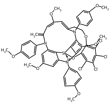 C=C1/C=C(OC)\C=C2/CCOc3c(Cl)c(Cl)c(Cl)c(Cl)c3O[Si@@H]3c4c(cc(OC)cc4N(c4ccc(OC)cc4)c4cc(OC)cc(c43)N2c2ccc(OC)cc2)N1c1ccc(OC)cc1